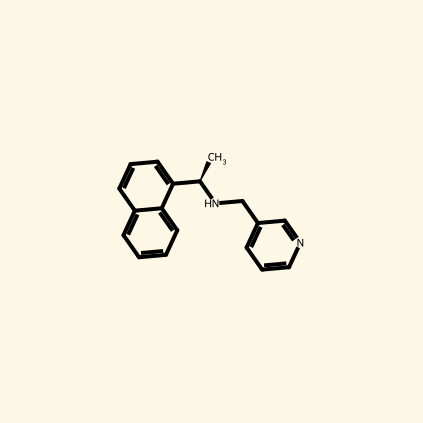 C[C@@H](NCc1cccnc1)c1cccc2ccccc12